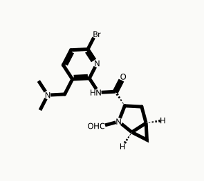 CN(C)Cc1ccc(Br)nc1NC(=O)[C@@H]1C[C@H]2C[C@H]2N1C=O